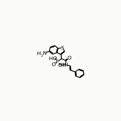 Nc1ccc2scc(C(C(=O)N/C=C/c3ccccc3)P(=O)(O)O)c2c1